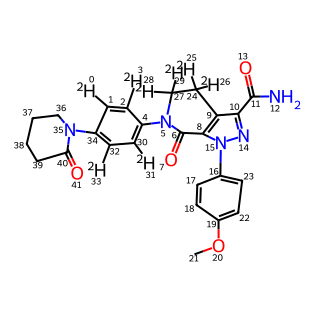 [2H]c1c([2H])c(N2C(=O)c3c(c(C(N)=O)nn3-c3ccc(OC)cc3)C([2H])([2H])C2([2H])[2H])c([2H])c([2H])c1N1CCCCC1=O